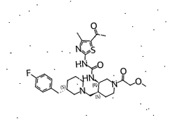 COCC(=O)N1CC[C@@H](CN2CCC[C@@H](Cc3ccc(F)cc3)C2)[C@@H](NC(=O)Nc2nc(C)c(C(C)=O)s2)C1